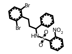 O=[N+]([O-])c1ccccc1S(=O)(=O)NC(CCc1c(Br)cccc1Br)c1ccccc1